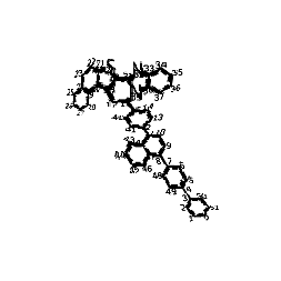 c1ccc(-c2ccc(-c3ccc(-c4ccc(-c5cc6c(sc7ccc8ccccc8c76)c6nc7ccccc7n56)cc4)c4ccccc34)cc2)cc1